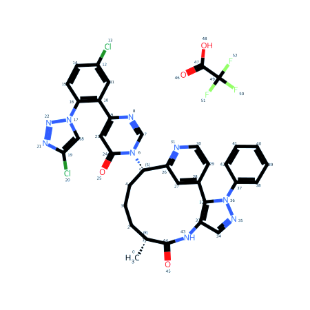 C[C@@H]1CCC[C@H](n2cnc(-c3cc(Cl)ccc3-n3cc(Cl)nn3)cc2=O)c2cc(ccn2)-c2c(cnn2-c2ccccc2)NC1=O.O=C(O)C(F)(F)F